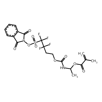 C=C(C)C(=O)OC(C)NC(=O)OCCC(F)(F)C(F)(F)S(=O)(=O)ON1C(=O)c2ccccc2C1=O